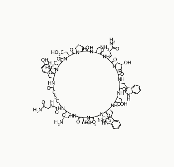 CCCC[C@H]1C(=O)N(C)[C@@H](CCCC)C(=O)N[C@@H](CCN)C(=O)N[C@H](C(=O)NCC(N)=O)CSCC(=O)N[C@@H](Cc2ccc(O)cc2)C(=O)N(C)[C@@H](C)C(=O)N[C@@H](CC(=O)O)C(=O)N2CCC[C@H]2C(=O)N[C@@H](CN)C(=O)N[C@@H](CCC(N)=O)C(=O)N2C[C@H](O)C[C@H]2C(=O)N[C@@H](Cc2c[nH]c3ccccc23)C(=O)N[C@@H](CO)C(=O)N[C@@H](Cc2c[nH]c3ccccc23)C(=O)N1C